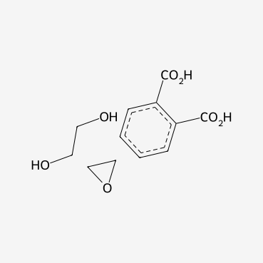 C1CO1.O=C(O)c1ccccc1C(=O)O.OCCO